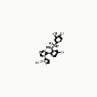 Cn1nccc1-n1cnnc1-c1ncc(Cl)cc1NS(=O)(=O)c1ccc(Cl)c(C(F)(F)F)c1